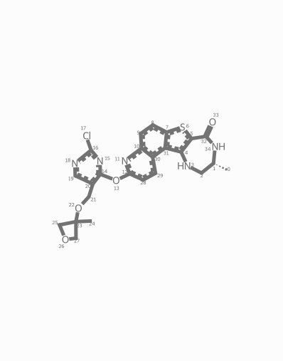 C[C@@H]1CNc2c(sc3ccc4nc(Oc5nc(Cl)ncc5COC5(C)COC5)ccc4c23)C(=O)N1